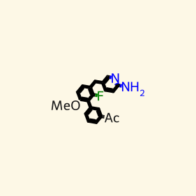 COc1ccc(Cc2ccc(N)nc2)c(F)c1-c1cccc(C(C)=O)c1